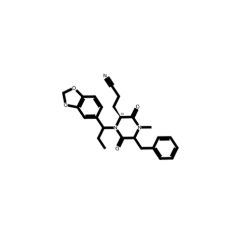 CCC(c1ccc2c(c1)OCO2)N1C(=O)C(Cc2ccccc2)N(C)C(=O)[C@@H]1CCC#N